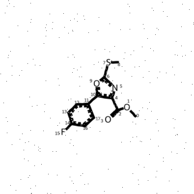 COC(=O)c1nc(SC)oc1-c1ccc(F)cc1